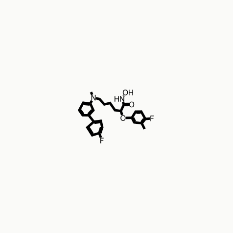 Cc1cc(OC(CCCCN(C)c2cccc(-c3ccc(F)cc3)c2)C(=O)NO)ccc1F